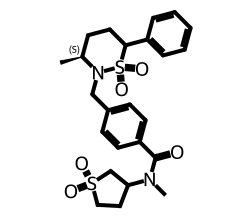 C[C@H]1CCC(c2ccccc2)S(=O)(=O)N1Cc1ccc(C(=O)N(C)C2CCS(=O)(=O)C2)cc1